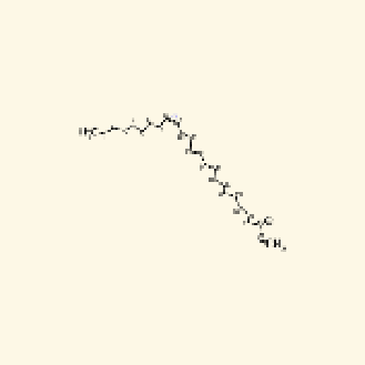 CCCCCCCC/C=C\CCCCCCCCCCCCCC(=O)OC